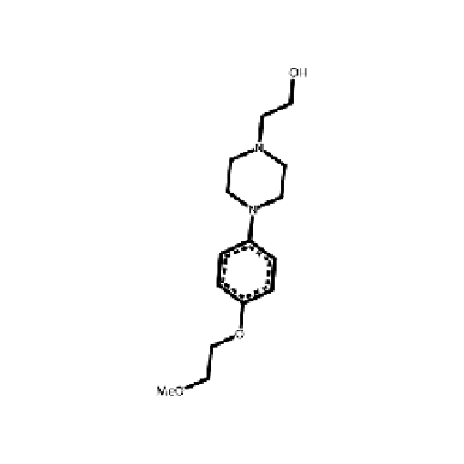 COCCOc1ccc(N2CCN(CCO)CC2)cc1